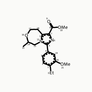 CCc1ccc(-c2nc(C(=O)OC)c3n2CC(C)OCC3)cc1OC